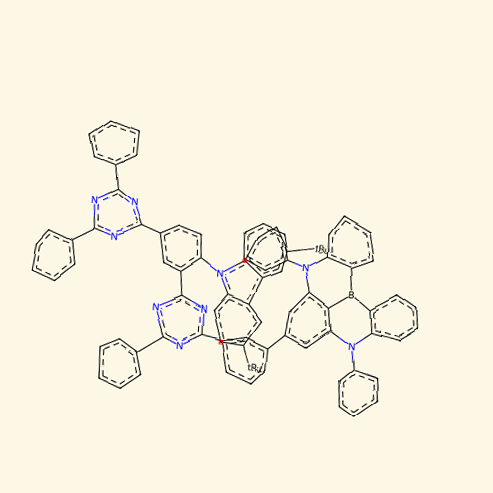 CC(C)(C)c1ccc2c(c1)c1cc(C(C)(C)C)ccc1n2-c1ccc(-c2nc(-c3ccccc3)nc(-c3ccccc3)n2)cc1-c1nc(-c2ccccc2)nc(-c2cccc(-c3cc4c5c(c3)N(c3ccccc3)c3ccccc3B5c3ccccc3N4c3ccccc3)c2)n1